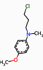 COc1ccc(N(C)CCCCl)cc1